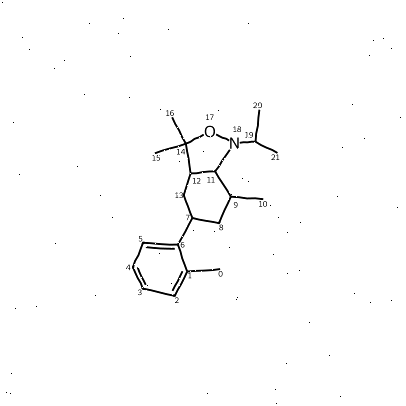 Cc1ccccc1C1CC(C)C2C(C1)C(C)(C)ON2C(C)C